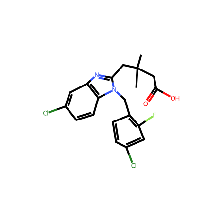 CC(C)(CC(=O)O)Cc1nc2cc(Cl)ccc2n1Cc1ccc(Cl)cc1F